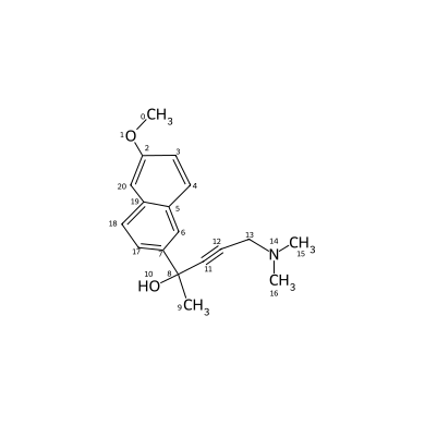 COc1ccc2cc(C(C)(O)C#CCN(C)C)ccc2c1